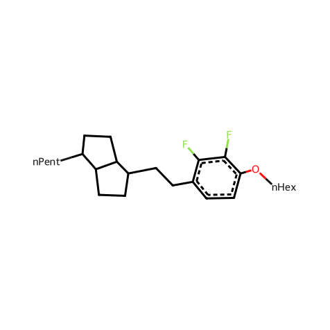 CCCCCCOc1ccc(CCC2CCC3C(CCCCC)CCC23)c(F)c1F